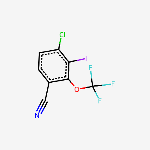 N#Cc1ccc(Cl)c(I)c1OC(F)(F)F